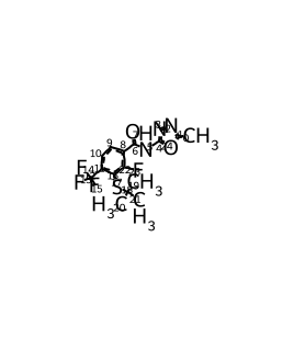 Cc1nnc(NC(=O)c2ccc(C(F)(F)F)c(SC(C)(C)C)c2F)o1